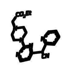 CCOC(=O)CN1CCN(c2nccc(C(C#N)c3ccccn3)n2)CC1